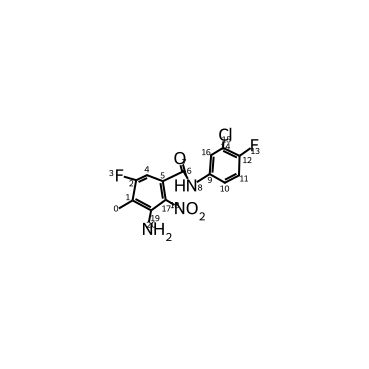 Cc1c(F)cc(C(=O)Nc2ccc(F)c(Cl)c2)c([N+](=O)[O-])c1N